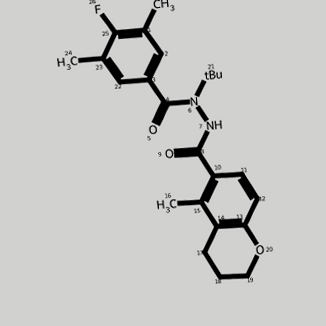 Cc1cc(C(=O)N(NC(=O)c2ccc3c(c2C)CCCO3)C(C)(C)C)cc(C)c1F